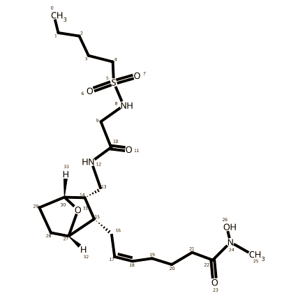 CCCCCS(=O)(=O)NCC(=O)NC[C@@H]1[C@H](C/C=C\CCCC(=O)N(C)O)[C@@H]2CC[C@H]1O2